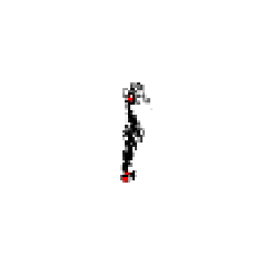 CC(C)(C)OC(=O)N1C[C@@H](CCCn2ccc(S(=O)(=O)NC(=O)c3ccc(-n4ccc(OCCC5C6(CC6)C56CC6)n4)nc3Cl)n2)CC1(C)C